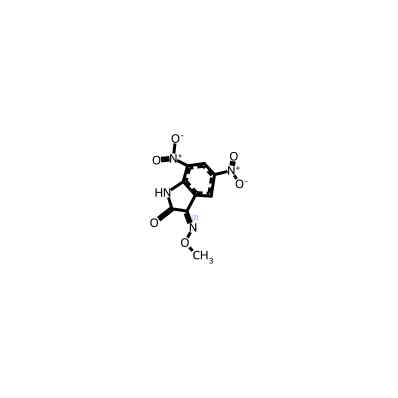 CO/N=C1\C(=O)Nc2c1cc([N+](=O)[O-])cc2[N+](=O)[O-]